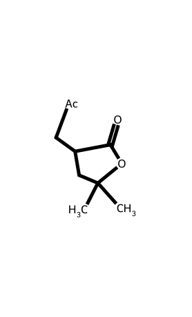 CC(=O)CC1CC(C)(C)OC1=O